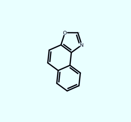 [c]1nc2c(ccc3ccccc32)o1